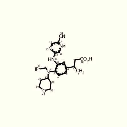 CC(C)CN(c1ccc(C(C)CC(=O)O)cc1Nc1cnc(C#N)cn1)C1CCOCC1